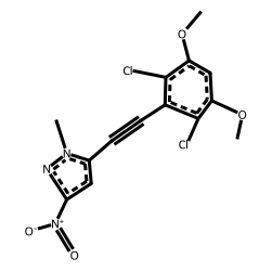 COc1cc(OC)c(Cl)c(C#Cc2cc([N+](=O)[O-])nn2C)c1Cl